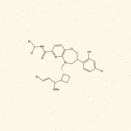 CC/C=C/C(OC)C1CC[C@H]1CN1CC(c2ccc(Cl)cc2CCC)COc2ccc(C(=O)N[S+]([O-])C(C)C)nc21